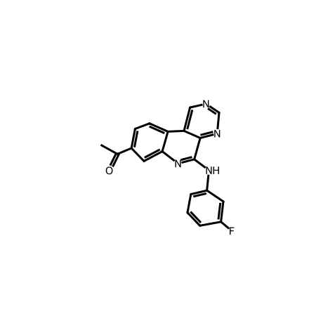 CC(=O)c1ccc2c(c1)nc(Nc1cccc(F)c1)c1ncncc12